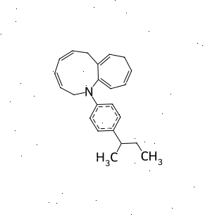 CCC(C)c1ccc(N2C/C=C\C=C/CC3=CCC=CC=C32)cc1